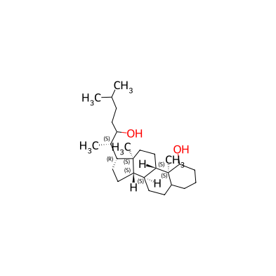 CC(C)CCC(O)[C@@H](C)[C@H]1CC[C@H]2[C@@H]3CCC4CCCC(O)[C@]4(C)[C@H]3CC[C@]12C